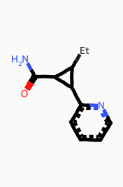 CCC1C(C(N)=O)C1c1ccccn1